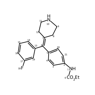 CCOC(=O)Nc1ccc(C(=C2CCNCC2)c2cccc(F)c2)cc1